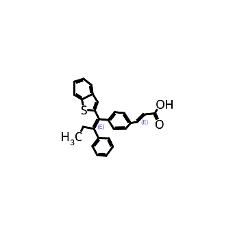 CC/C(=C(/c1ccc(/C=C/C(=O)O)cc1)c1cc2ccccc2s1)c1ccccc1